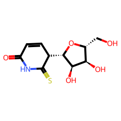 O=C1C=CC([C@@H]2O[C@H](CO)[C@@H](O)[C@H]2O)C(=S)N1